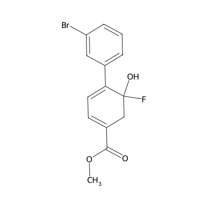 COC(=O)C1=CC=C(c2cccc(Br)c2)C(O)(F)C1